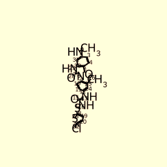 CNc1ccc2c(=O)n(-c3ccc(NC(=O)NSc4ccc(Cl)s4)cc3C)c(=O)[nH]c2c1